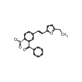 CCc1ccc(C=Cc2ccc([N+](=O)[O-])c(C(=O)c3ccccc3)c2)o1